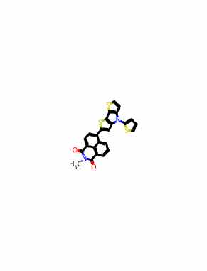 CN1C(=O)c2cccc3c(-c4cc5c(s4)c4sccc4n5-c4cccs4)ccc(c23)C1=O